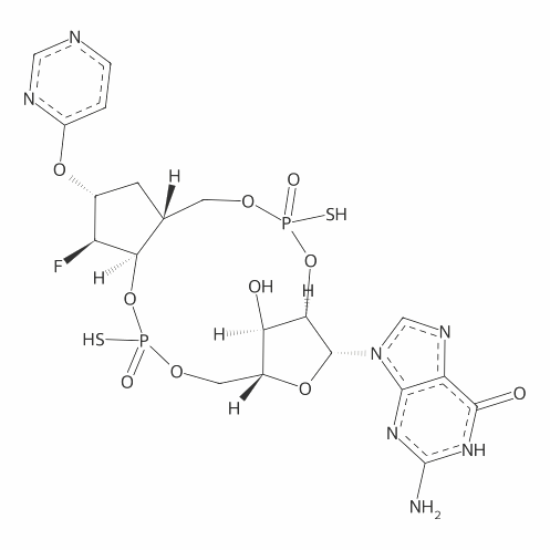 Nc1nc2c(ncn2[C@@H]2O[C@@H]3COP(=O)(S)O[C@@H]4[C@@H](COP(=O)(S)O[C@@H]2[C@@H]3O)C[C@@H](Oc2ccncn2)[C@@H]4F)c(=O)[nH]1